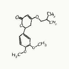 COc1ccc(C2CC(OCC(C)C)=CC(=O)O2)cc1OC